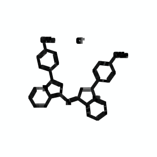 COc1ccc(C2=C/C(=N\c3cc(-c4ccc(OC)cc4)n4ccccc34)c3cccc[n+]32)cc1.[Cl-]